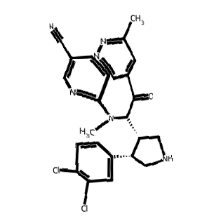 Cc1cc(C(=O)C([C@@H]2CNC[C@@H]2c2ccc(Cl)c(Cl)c2)N(C)c2ccc(C#N)cn2)cnn1